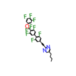 CCCCc1cnc(C#Cc2cc(F)c(-c3cc(F)c(C(F)(F)Oc4cc(F)c(F)c(F)c4)c(F)c3)c(F)c2)nc1